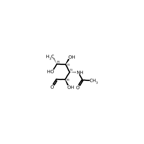 CC(=O)N[C@@H]([C@H](O)[C@@H](C)O)[C@@H](O)C=O